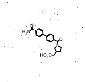 N=C(N)c1ccc(-c2ccc(C(=O)N3CCC(CC(=O)O)C3)cc2)cc1